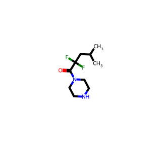 CC(C)CC(F)(F)C(=O)N1CCNCC1